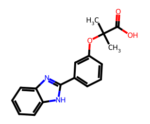 CC(C)(Oc1cccc(-c2nc3ccccc3[nH]2)c1)C(=O)O